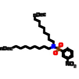 CCCCCCCCCCCCCCCCCCN(CCCCCCCCCCCCCCCCCC)S(=O)(=O)c1[c]ccc([N+](=O)[O-])c1